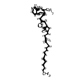 CCCCCCCCCCCCCCCC1CC2CC(CCn3c(C)nc4cnccc43)OC2O1